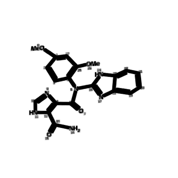 COc1ccc(N(C(=O)c2nc[nH]c2C(N)=O)c2nc3ccccc3[nH]2)c(OC)c1